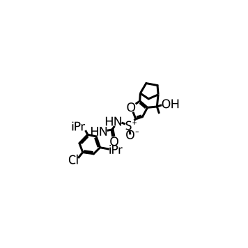 CC(C)c1cc(Cl)cc(C(C)C)c1NC(=O)N[S+]([O-])c1cc2c(o1)C1CCC(C1)C2(C)O